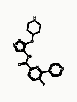 O=C(Nc1cnsc1OC1CCNCC1)c1ccc(F)c(-c2ccncc2)n1